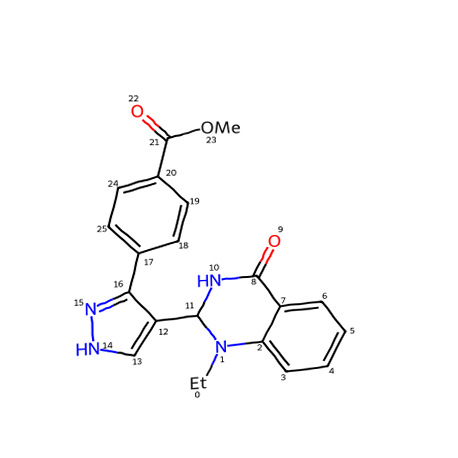 CCN1c2ccccc2C(=O)NC1c1c[nH]nc1-c1ccc(C(=O)OC)cc1